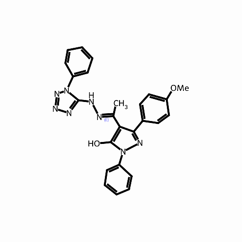 COc1ccc(-c2nn(-c3ccccc3)c(O)c2/C(C)=N/Nc2nnnn2-c2ccccc2)cc1